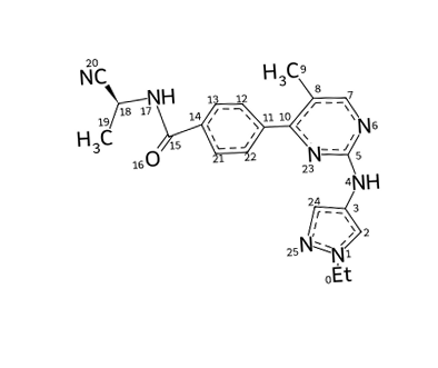 CCn1cc(Nc2ncc(C)c(-c3ccc(C(=O)N[C@@H](C)C#N)cc3)n2)cn1